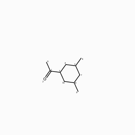 CC(=O)C1CC(C)CC(C)C1